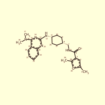 Cc1cc(C(=O)NC[C@H]2CC[C@@H](Nc3nc(N(C)C)c4ccccc4n3)CC2)c(C)o1